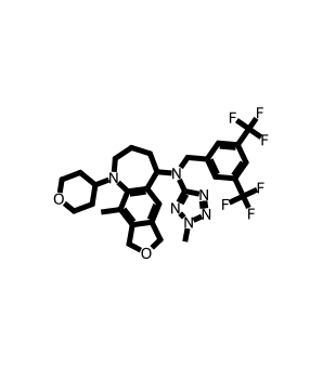 Cc1c2c(cc3c1N(C1CCOCC1)CCCC3N(Cc1cc(C(F)(F)F)cc(C(F)(F)F)c1)c1nnn(C)n1)COC2